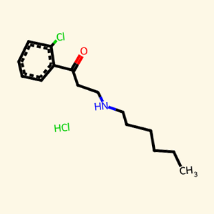 CCCCCCNCCC(=O)c1ccccc1Cl.Cl